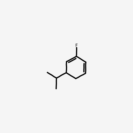 CC(C)C1C=C(F)C=CC1